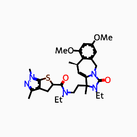 CCN(CCC1(C)C2=C[C@@H](C)c3c(cc(OC)cc3OC)CN2C(=O)N1CC)C(=O)C1Cc2c(C)nn(C)c2S1